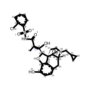 C/C(C(=O)NS(=O)(=O)c1ccccc1Cl)=C(/O)[C@@H]1Oc2c(O)ccc3c2[C@@]12CCN(CC1CC1)[C@H](C3)[C@@]2(C)O